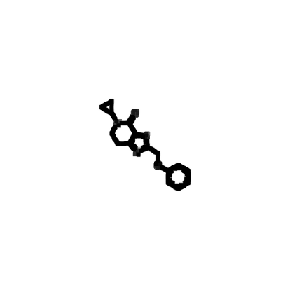 O=C1c2sc(COc3ccccc3)nc2CCN1C1CC1